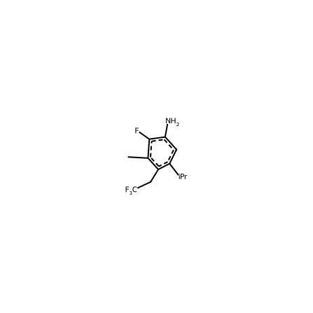 Cc1c(F)c(N)cc(C(C)C)c1CC(F)(F)F